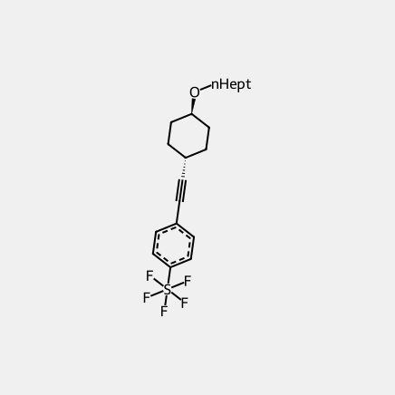 CCCCCCCO[C@H]1CC[C@H](C#Cc2ccc(S(F)(F)(F)(F)F)cc2)CC1